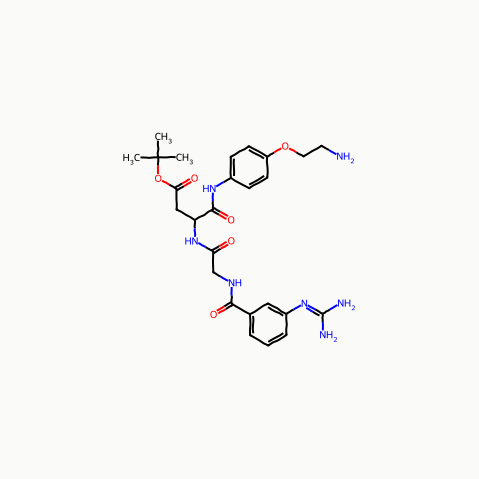 CC(C)(C)OC(=O)CC(NC(=O)CNC(=O)c1cccc(N=C(N)N)c1)C(=O)Nc1ccc(OCCN)cc1